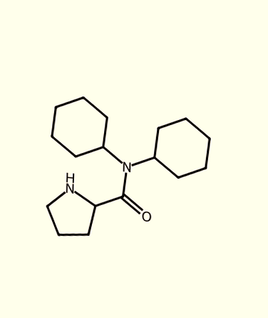 O=C(C1CCCN1)N(C1CCCCC1)C1CCCCC1